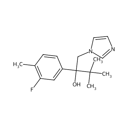 Cc1ccc(C(O)(Cn2ccnc2)C(C)(C)C)cc1F